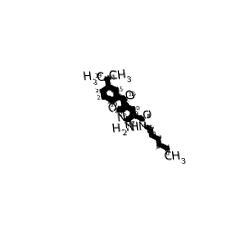 CCCCCCNC(=O)c1cc2c(=O)c3cc(C(C)C)ccc3oc2nc1N